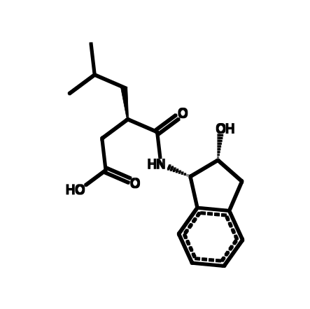 CC(C)C[C@H](CC(=O)O)C(=O)N[C@H]1c2ccccc2C[C@H]1O